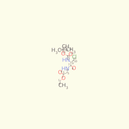 CCOC(=O)CNC(=O)[C@H](CCl)NC(=O)OC(C)(C)C